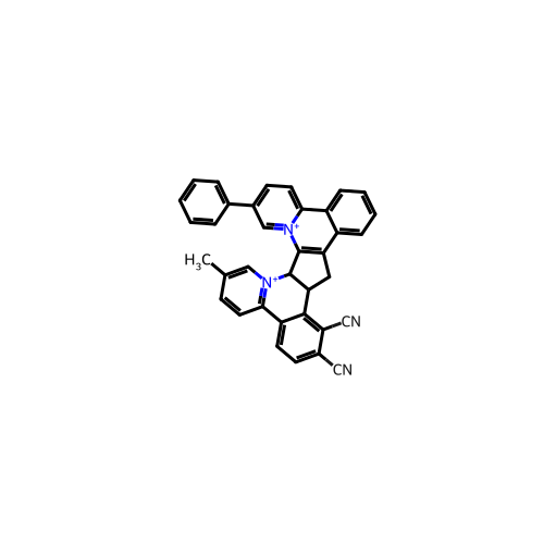 Cc1ccc2[n+](c1)C1c3c(c4ccccc4c4ccc(-c5ccccc5)c[n+]34)CC1c1c-2ccc(C#N)c1C#N